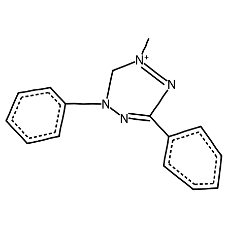 C[N+]1=NC(c2ccccc2)=NN(c2ccccc2)C1